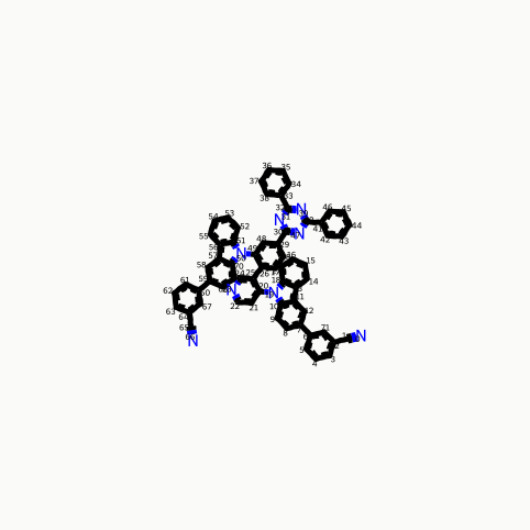 N#Cc1cccc(-c2ccc3c(c2)c2ccccc2n3-c2ccncc2-c2ccc(-c3nc(-c4ccccc4)nc(-c4ccccc4)n3)cc2-n2c3ccccc3c3cc(-c4cccc(C#N)c4)ccc32)c1